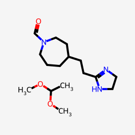 COC(C)OC.O=CN1CCCC(CCC2=NCCN2)CC1